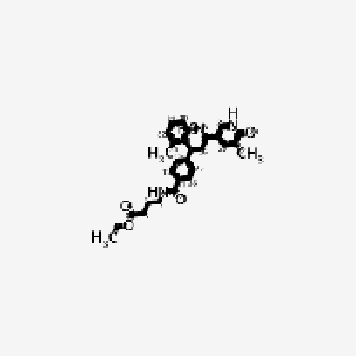 CCOC(=O)CCCNC(=O)c1ccc(C(C/C(=N\O)c2c[nH]c(=O)c(C)c2)c2ccccc2C)cc1